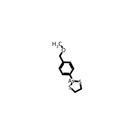 COCc1ccc([As]2SCCS2)cc1